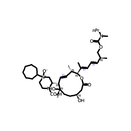 CCCN(C)C(=O)OC[C@@H](C)/C=C/C=C(\C)[C@H]1OC(=O)C[C@@H](O)CC[C@](C)(O)[C@H](C2C[N+]([O-])(C3CCCCCC3)CCN2C(=O)O)/C=C/[C@@H]1C